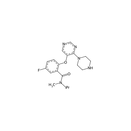 CC(C)N(C)C(=O)c1cc(F)ccc1Oc1cncnc1N1CCNCC1